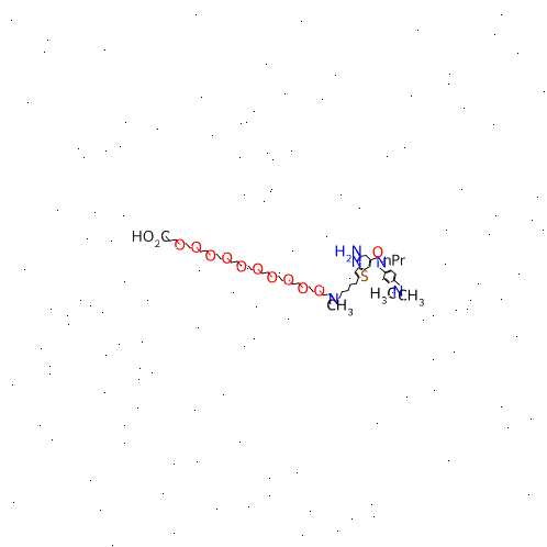 CCCN(Cc1ccc(CN(C)C)cc1)C(=O)C1=Cc2sc(CCCCCN(C)CCOCCOCCOCCOCCOCCOCCOCCOCCOCCOCCC(=O)O)cc2N=C(N)C1